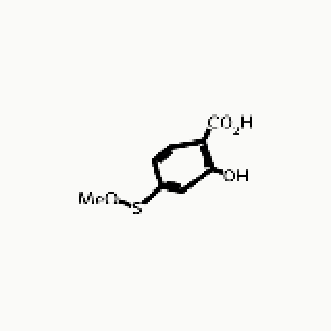 COSc1ccc(C(=O)O)c(O)c1